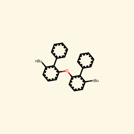 CCCCc1cccc(Oc2cccc(CCCC)c2-c2ccccc2)c1-c1ccccc1